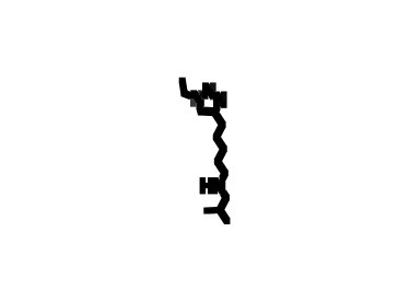 CCn1cc(CCCCCNCC(C)C)nn1